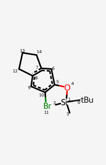 CC(C)(C)[Si](C)(C)Oc1cc2c(cc1Br)CCC2